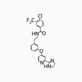 O=C(NCCc1cccc(Oc2ccnc(C3=NCCN3)c2)c1)c1ccc(Cl)c(C(F)(F)F)c1